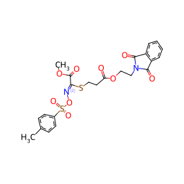 COC(=O)/C(=N/OS(=O)(=O)c1ccc(C)cc1)SCCC(=O)OCCN1C(=O)c2ccccc2C1=O